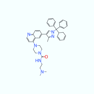 Cc1nn(C(c2ccccc2)(c2ccccc2)C2C=CC=CC2)cc1-c1ccc2nccc(N3CCN(C(=O)NCCN(C)C)CC3)c2c1